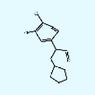 O=CC(CC1CCCC1)c1ccc(Cl)c(Cl)c1